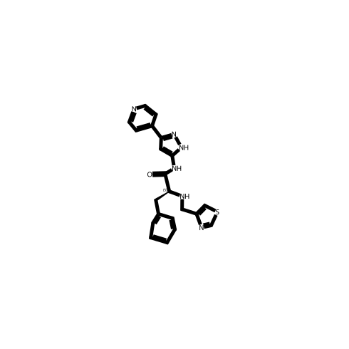 O=C(Nc1cc(-c2ccncc2)n[nH]1)[C@H](Cc1ccccc1)NCc1cscn1